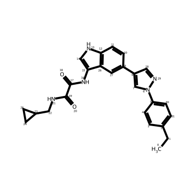 CCc1ccc(-n2cc(-c3ccc4[nH]cc(NC(=O)C(=O)NCC5CC5)c4c3)cn2)cc1